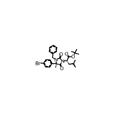 CC(C)C[C@H](C(=O)OC(C)(C)C)N1C(=O)N(Cc2ccccc2)[C@@](C)(c2ccc(Br)cc2)C1=O